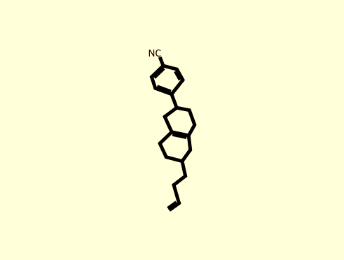 C=CCCC1CCC2=C(CCC(c3ccc(C#N)cc3)C2)C1